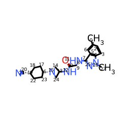 Cc1ccc2c(c1)c(NCC(=O)NC1CN([C@H]3CC[C@@H](C#N)CC3)C1)nn2C